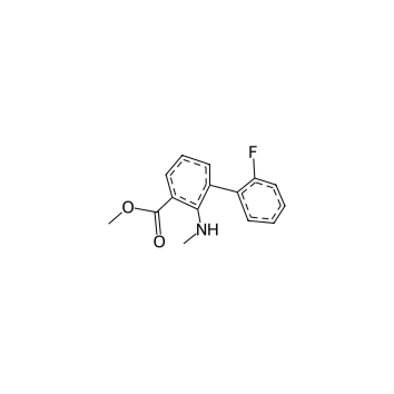 CNc1c(C(=O)OC)cccc1-c1ccccc1F